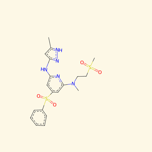 Cc1cc(Nc2cc(S(=O)(=O)c3ccccc3)cc(N(C)CCS(C)(=O)=O)n2)n[nH]1